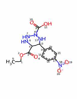 CCOC(=O)C1NNN(C(=O)O)NC1c1ccc([N+](=O)[O-])cc1